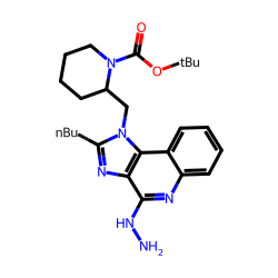 CCCCc1nc2c(NN)nc3ccccc3c2n1CC1CCCCN1C(=O)OC(C)(C)C